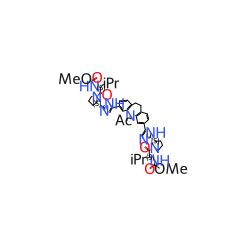 COC(=O)N[C@H](C(=O)N1CCC[C@H]1c1ncc(-c2ccc3c(c2)N(C(C)=O)c2cc(-c4cnc([C@@H]5CCCN5C(=O)[C@@H](NC(=O)OC)C(C)C)[nH]4)ccc2CC3)[nH]1)C(C)C